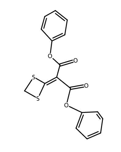 O=C(Oc1ccccc1)C(C(=O)Oc1ccccc1)=C1SCS1